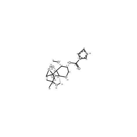 CO[C@@H]1[C@H](OC(=O)n2ccnc2)CO[C@]2(COC(C)(C)O2)[C@@]1(O)C1(C)CO1